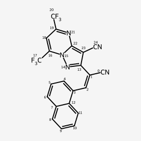 N#CC(=Cc1cccc2ccccc12)c1nn2c(C(F)(F)F)cc(C(F)(F)F)nc2c1C#N